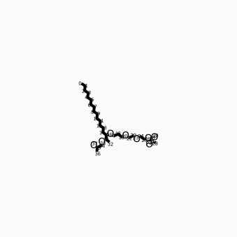 CCCCCCCCCCCCCCCC(OCCCOCCOCCOS(C)(=O)=O)C(C)OCC(C)=O